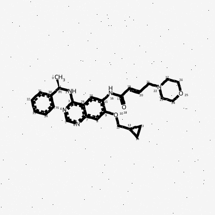 C[C@@H](Nc1ncnc2cc(OCC3CC3)c(NC(=O)C=CCN3CCOCC3)cc12)c1ccccc1